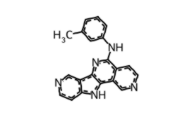 Cc1cccc(Nc2nc3c4cnccc4[nH]c3c3cnccc23)c1